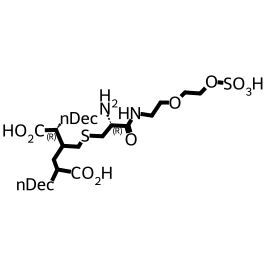 CCCCCCCCCCC(CC(CSC[C@H](N)C(=O)NCCOCCOS(=O)(=O)O)[C@@H](CCCCCCCCCC)C(=O)O)C(=O)O